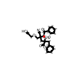 C#CCOCC(C#N)(CC(Cc1ccccc1)(C(=O)O)[N+](=O)[O-])SC(=O)c1ccccc1